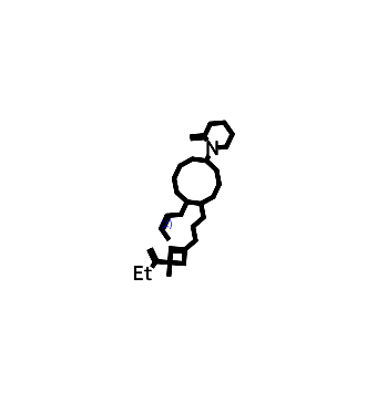 C=C1CCCCN1C1CCCCC(C/C=C\C)C(CCCC2=CC(C)(C(=C)CC)C2)CCC1